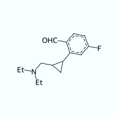 CCN(CC)CC1CC1c1cc(F)ccc1C=O